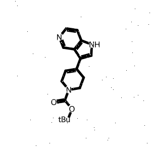 CC(C)(C)OC(=O)N1CC=C(c2c[nH]c3ccncc23)CC1